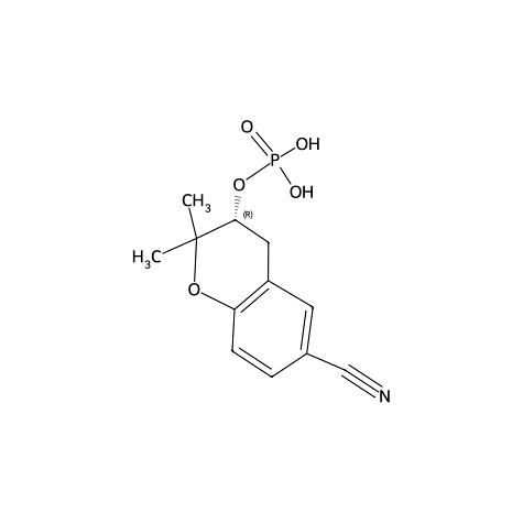 CC1(C)Oc2ccc(C#N)cc2C[C@H]1OP(=O)(O)O